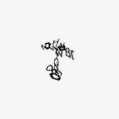 O=C(N1CCC(c2cc(NCc3cccnc3)n3ncc(Br)c3n2)CC1)C1(c2ccccc2)CCCCC1